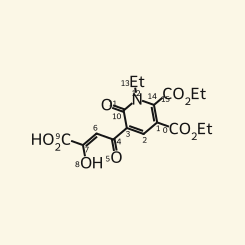 CCOC(=O)c1cc(C(=O)C=C(O)C(=O)O)c(=O)n(CC)c1C(=O)OCC